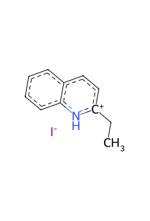 CC[c+]1ccc2ccccc2[nH]1.[I-]